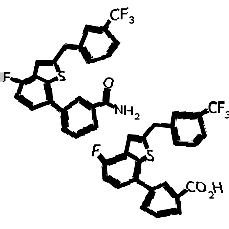 NC(=O)c1cccc(-c2ccc(F)c3cc(Cc4cccc(C(F)(F)F)c4)sc23)c1.O=C(O)c1cccc(-c2ccc(F)c3cc(Cc4cccc(C(F)(F)F)c4)sc23)c1